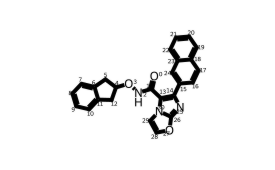 O=C(NOC1Cc2ccccc2C1)c1c(-c2ccc3ccccc3c2)nc2occn12